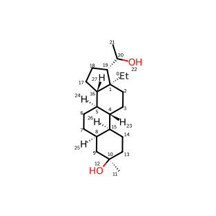 CC[C@]12CC[C@H]3[C@@H](CC[C@@H]4C[C@](C)(O)CC[C@@H]43)[C@@H]1CC[C@@H]2C(C)O